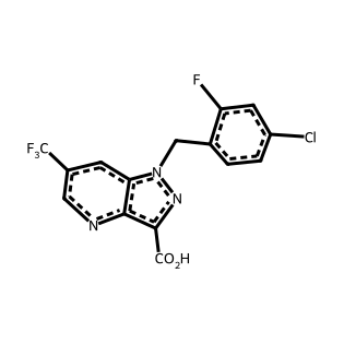 O=C(O)c1nn(Cc2ccc(Cl)cc2F)c2cc(C(F)(F)F)cnc12